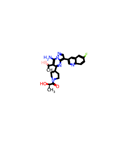 B=C(C)c1c(C2CCN(C(=O)[C@@H](C)O)CC2)nc2c(-c3cnc4ccc(F)cc4c3)cnn2c1N